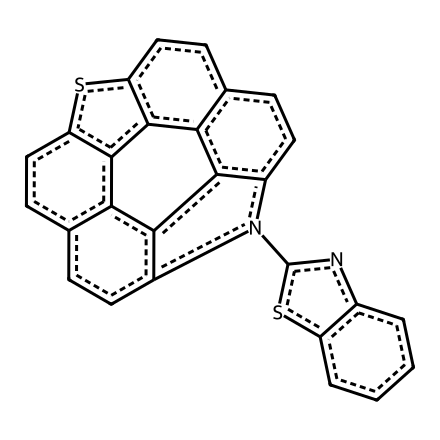 c1ccc2sc(-n3c4ccc5ccc6sc7ccc8ccc3c3c8c7c6c5c34)nc2c1